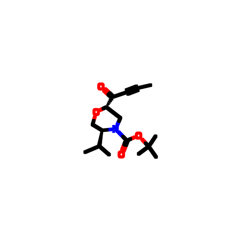 CC#CC(=O)[C@@H]1CN(C(=O)OC(C)(C)C)[C@@H](C(C)C)CO1